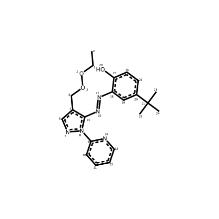 CCOOCc1cnn(-c2ccccn2)c1/N=N/c1cc(C(C)(C)C)ccc1O